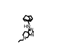 CCCN1CCc2c(ncnc2NCC23CC4CC(CC(C4)C2)C3)C1